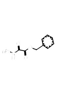 CCCNC(=O)C(=O)OCc1ccccc1